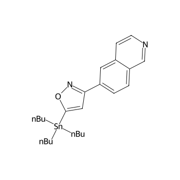 CCC[CH2][Sn]([CH2]CCC)([CH2]CCC)[c]1cc(-c2ccc3cnccc3c2)no1